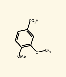 COc1ccc(C(=O)O)cc1OC(F)(F)F